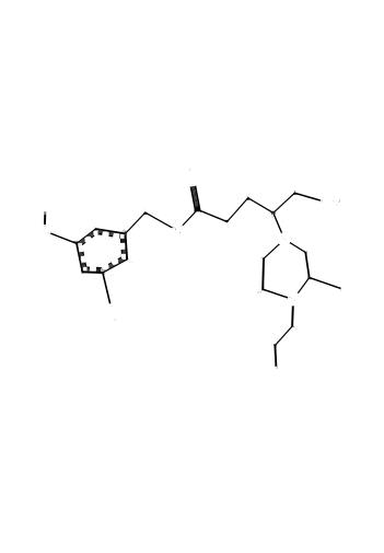 CCOc1cc(CNC(=O)CCC(COC)N2CCN(CCC(=O)O)C(C)C2)cc(C(F)(F)F)c1